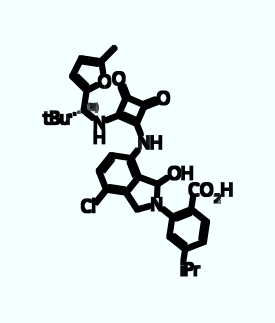 Cc1ccc([C@H](Nc2c(Nc3ccc(Cl)c4c3C(O)N(c3cc(C(C)C)ccc3C(=O)O)C4)c(=O)c2=O)C(C)(C)C)o1